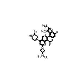 CCC1CN(c2nc(N3CC(N(CC)CC)C3)nc3c(C(F)F)c(-c4ccc(F)c5sc(N)c(C#N)c45)ncc23)CCN1